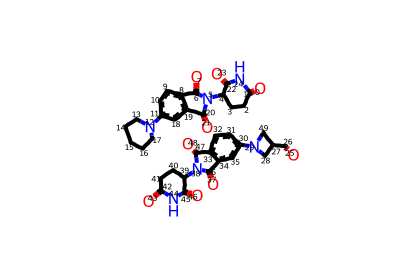 O=C1CCC(N2C(=O)c3ccc(N4CCCCC4)cc3C2=O)C(=O)N1.O=CC1CN(c2ccc3c(c2)C(=O)N(C2CCC(=O)NC2=O)C3=O)C1